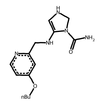 CCCCOc1ccnc(CNC2=CNCN2C(N)=O)c1